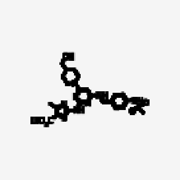 CCOC(=O)c1sc(Nc2nc(NCc3ccc(NS(C)(=O)=O)cc3)cc(N3CCC(CO)CC3)n2)nc1C